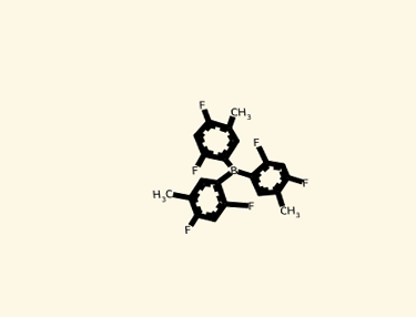 Cc1cc(B(c2cc(C)c(F)cc2F)c2cc(C)c(F)cc2F)c(F)cc1F